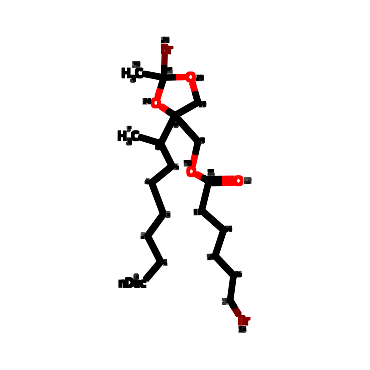 CCCCCCCCCCCCCCCC(C)C1(COC(=O)CCCCCBr)COC(C)(Br)O1